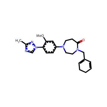 COc1cc(N2CCC(=O)N(CC3=CCCC=C3)CC2)ccc1-n1cnc(C)n1